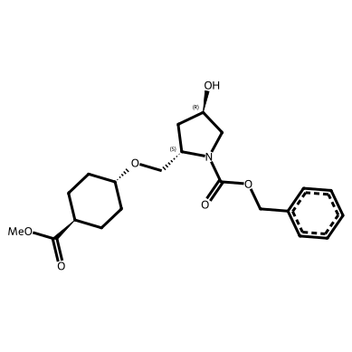 COC(=O)[C@H]1CC[C@H](OC[C@@H]2C[C@@H](O)CN2C(=O)OCc2ccccc2)CC1